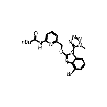 CCCCC(=O)Nc1cccc(COc2nc3c(Br)cccc3n2-c2nnnn2C)n1